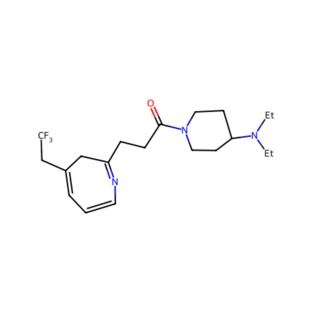 CCN(CC)C1CCN(C(=O)CCC2=NC=CC=C(CC(F)(F)F)C2)CC1